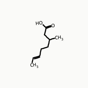 C/C=C/CCC(C)CC(=O)O